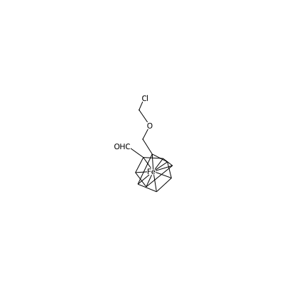 O=C[C]12[CH]3[CH]4[CH]5[CH]1[Fe]45321678[CH]2[CH]1[CH]6[C]7(COCCl)[CH]28